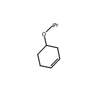 CC(C)OC1CC=CCC1